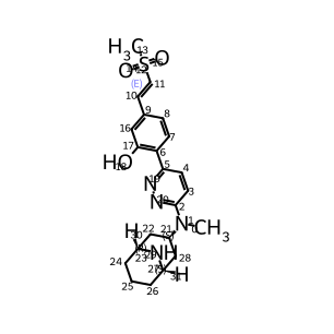 CN(c1ccc(-c2ccc(/C=C/S(C)(=O)=O)cc2O)nn1)[C@@H]1C[C@H]2CCC[C@@H](C1)N2